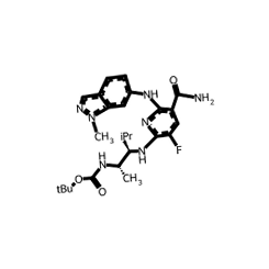 CC(C)[C@@H](Nc1nc(Nc2ccc3cnn(C)c3c2)c(C(N)=O)cc1F)[C@H](C)NC(=O)OC(C)(C)C